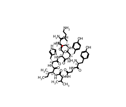 CC[C@H](C)[C@H](NC(=O)[C@@H](NC(=O)CNC(=O)[C@@H](N)Cc1ccc(O)cc1)C(C)C)C(=O)N[C@H](Cc1c[nH]cn1)C(=O)N[C@@H](CCCNC(=N)N)C(=O)N[C@@H](Cc1ccc(O)cc1)C(=O)N[C@@H](CCCCN)C(N)=O